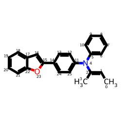 C/C=C(\C)N(c1ccccc1)c1ccc(-c2cc3ccccc3o2)cc1